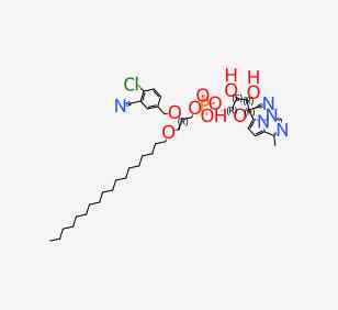 CCCCCCCCCCCCCCCCCCOC[C@H](COP(=O)(O)OC[C@H]1O[C@@](C#N)(c2ccc3c(C)ncnn23)[C@H](O)[C@@H]1O)OCc1ccc(Cl)c(C#N)c1